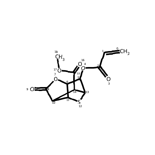 C=CC(=O)OC1C2OC(=O)C3C2SC1C3C(=O)OC